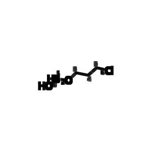 OBOCCCCl